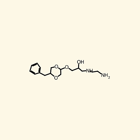 NCCNCC(O)COC1COC(Cc2ccccc2)CO1